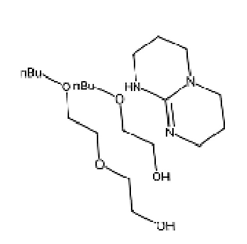 C1CN=C2NCCCN2C1.CCCCOCCO.CCCCOCCOCCO